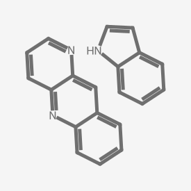 c1ccc2[nH]ccc2c1.c1ccc2nc3cccnc3cc2c1